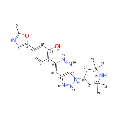 Cc1ncc(-c2ccc(-c3cc4nnn(C5CC(C)(C)NC(C)(C)C5)c4nn3)c(O)c2)o1